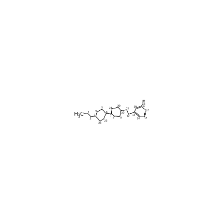 CCCC1CCC(C2CCC(CCc3cccc(F)c3)CC2)CC1